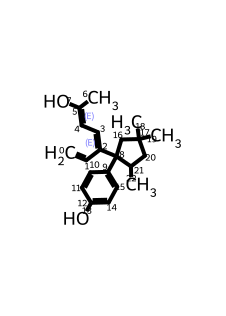 C=C/C(=C\C=C(/C)O)C1(c2ccc(O)cc2)CC(C)(C)CC1C